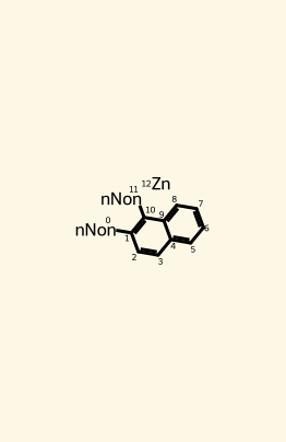 CCCCCCCCCc1ccc2ccccc2c1CCCCCCCCC.[Zn]